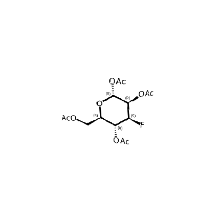 CC(=O)OC[C@H]1O[C@H](OC(C)=O)[C@@H](OC(C)=O)[C@@H](F)[C@@H]1OC(C)=O